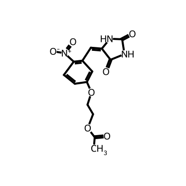 CC(=O)OCCOc1ccc([N+](=O)[O-])c(/C=C2/NC(=O)NC2=O)c1